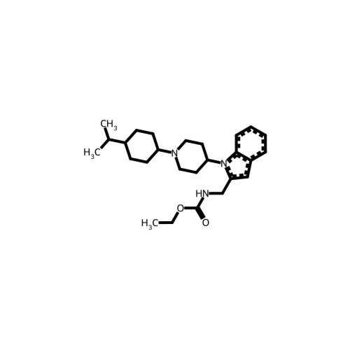 CCOC(=O)NCc1cc2ccccc2n1C1CCN(C2CCC(C(C)C)CC2)CC1